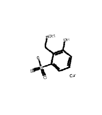 CCCCCCCCCc1c(O)cccc1S(=O)(=O)[O-].[Cu+]